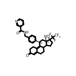 C[C@]12C[C@H](c3ccc(CNC(=O)c4cccnc4)cc3)C3=C4CCC(=O)C=C4CCC3C1CC[C@@]2(O)C(F)(F)C(F)(F)F